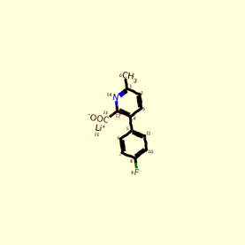 Cc1ccc(-c2ccc(F)cc2)c(C(=O)[O-])n1.[Li+]